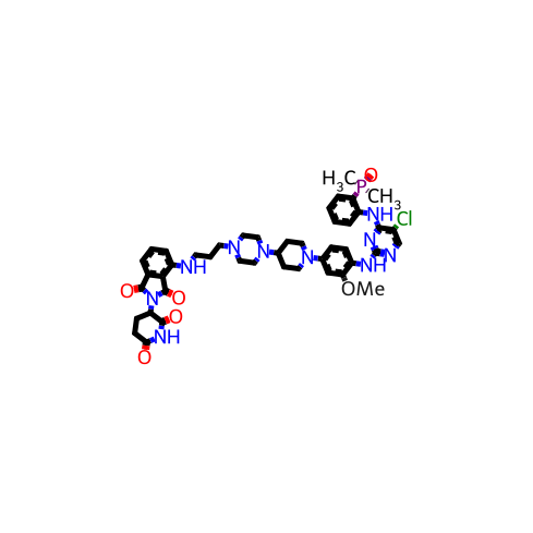 COc1cc(N2CCC(N3CCN(CCCNc4cccc5c4C(=O)N(C4CCC(=O)NC4=O)C5=O)CC3)CC2)ccc1Nc1ncc(Cl)c(Nc2ccccc2P(C)(C)=O)n1